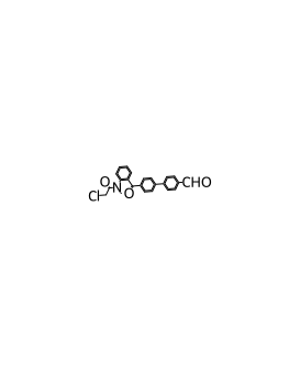 CN(C(=O)CCl)c1ccccc1C(=O)c1ccc(-c2ccc(C=O)cc2)cc1